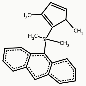 CC1=C([Si](C)(C)c2c3ccccc3cc3ccccc23)C(C)C=C1